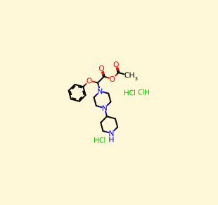 CC(=O)OC(=O)C(Oc1ccccc1)N1CCN(C2CCNCC2)CC1.Cl.Cl.Cl